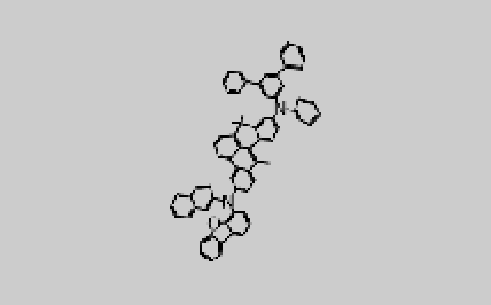 Cc1c2c3c(cccc3c3cc(N(c4ccc5ccccc5c4)c4cccc5c4oc4ccccc45)ccc13)C(C)(C)c1cc(N(c3ccccc3)c3cc(-c4ccccc4)cc(-c4ccccc4)c3)ccc1-2